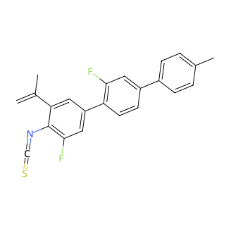 C=C(C)c1cc(-c2ccc(-c3ccc(C)cc3)cc2F)cc(F)c1N=C=S